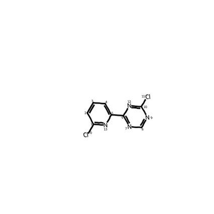 Clc1cccc(-c2ncnc(Cl)n2)n1